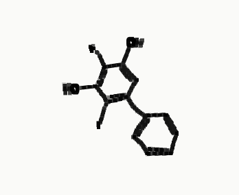 Oc1cc(-c2ccccc2)c(I)c(O)c1F